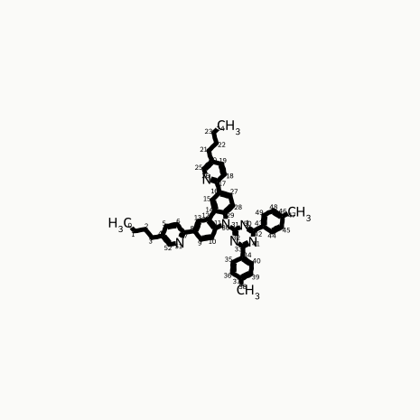 CCCCc1ccc(-c2ccc3c(c2)c2cc(-c4ccc(CCCC)cn4)ccc2n3-c2nc(-c3ccc(C)cc3)nc(-c3ccc(C)cc3)n2)nc1